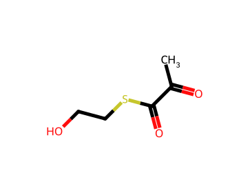 CC(=O)C(=O)SCCO